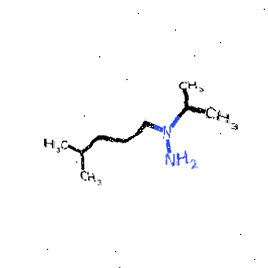 CC(C)CCCN(N)C(C)C